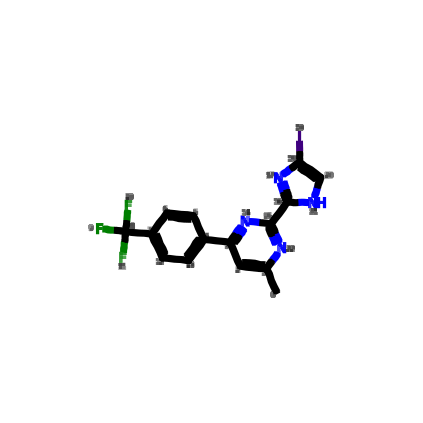 Cc1cc(-c2ccc(C(F)(F)F)cc2)nc(-c2nc(I)c[nH]2)n1